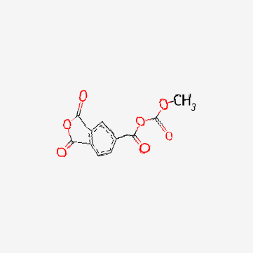 COC(=O)OC(=O)c1ccc2c(c1)C(=O)OC2=O